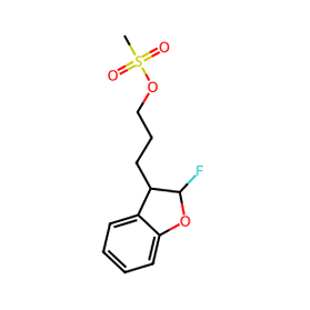 CS(=O)(=O)OCCCC1c2ccccc2OC1F